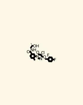 Cc1ccc(C(=O)NC[C@H](C)O)cc1-n1cnc(OCc2ccc(F)cc2F)c(Cl)c1=O